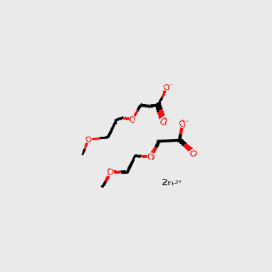 COCCOCC(=O)[O-].COCCOCC(=O)[O-].[Zn+2]